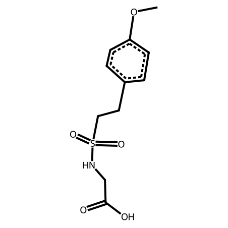 COc1ccc(CCS(=O)(=O)NCC(=O)O)cc1